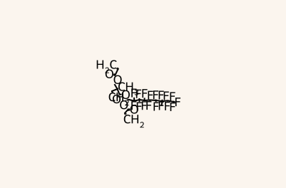 C=CC(=O)OCC(C)(C=C)C(=O)OC(OC(=O)C=C)C(F)(F)C(F)(F)C(F)(F)C(F)(F)C(F)(F)C(F)(F)C(F)(F)C(F)(F)F